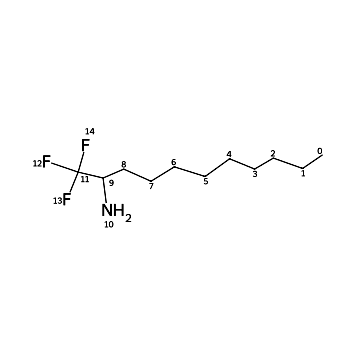 CCCCCCCCCC(N)C(F)(F)F